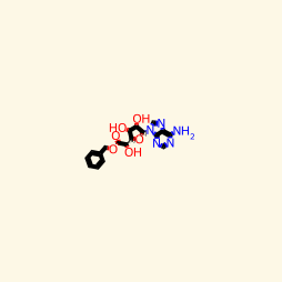 Nc1ncnc2c1ncn2[C@@H]1O[C@H](C(O)C(=O)OCc2ccccc2)C(O)C1O